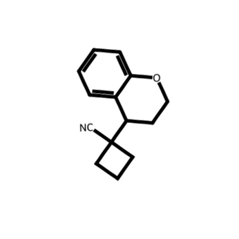 N#CC1(C2CCOc3ccccc32)CCC1